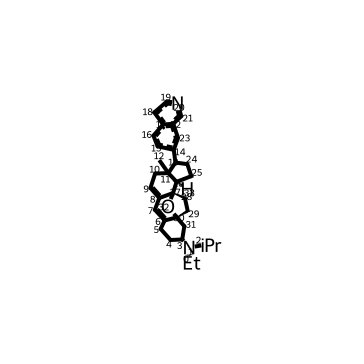 CCN(C(C)C)C1CCC2=CC3=CCC4(C)C(c5ccc6ccncc6c5)CC[C@H]4[C@@]34CC[C@]2(C1)O4